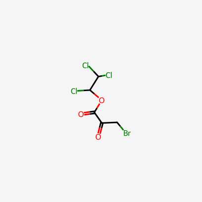 O=C(CBr)C(=O)OC(Cl)C(Cl)Cl